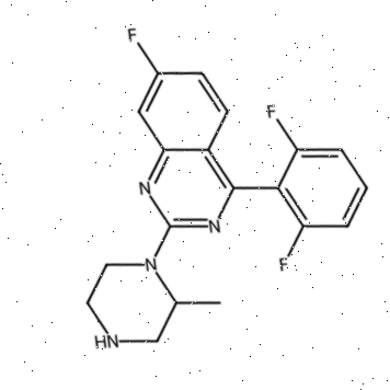 CC1CNCCN1c1nc(-c2c(F)cccc2F)c2ccc(F)cc2n1